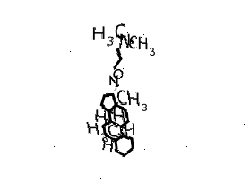 CN(C)CCCON=C[C@H]1CC[C@H]2[C@@H]3CC[C@@H]4CCCC[C@]4(C)[C@H]3CC[C@]12C